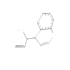 C=CC(O)C1C=COc2ccccc21